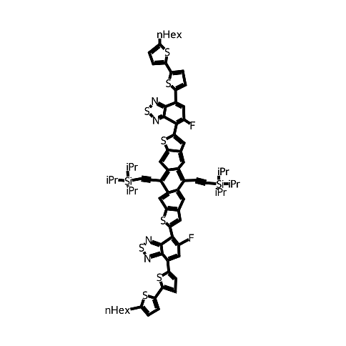 CCCCCCc1ccc(-c2ccc(-c3cc(F)c(-c4cc5cc6c(C#C[Si](C(C)C)(C(C)C)C(C)C)c7cc8cc(-c9c(F)cc(-c%10ccc(-c%11ccc(CCCCCC)s%11)s%10)c%10nsnc9%10)sc8cc7c(C#C[Si](C(C)C)(C(C)C)C(C)C)c6cc5s4)c4nsnc34)s2)s1